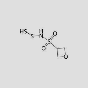 O=S(=O)(NSS)C1COC1